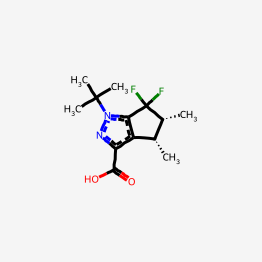 C[C@@H]1c2c(C(=O)O)nn(C(C)(C)C)c2C(F)(F)[C@@H]1C